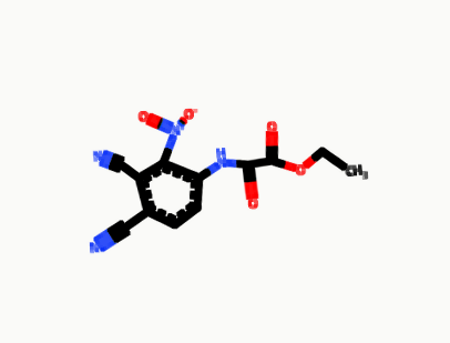 CCOC(=O)C(=O)Nc1ccc(C#N)c(C#N)c1[N+](=O)[O-]